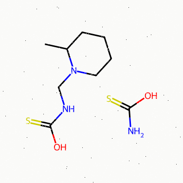 CC1CCCCN1CNC(O)=S.NC(O)=S